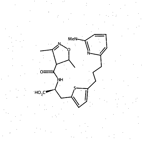 CNc1cccc(CCCc2ccc(C[C@H](NC(=O)C3C(C)=NOC3C)C(=O)O)s2)n1